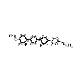 C/C=C/C1OCC(c2ccc(-c3ccc(-c4ccc(OCCC)c(F)c4F)cc3)c(F)c2)CO1